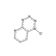 [O-][n+]1nnnc2ncccc21